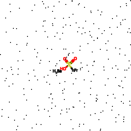 CCCS(=O)(=O)O.[BaH2]